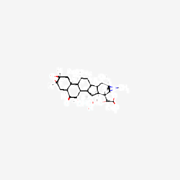 CC(=O)O[C@H]1C2C([C@@H]3[C@@H](O)[C@@H]4[C@H]([C@H](C)[C@H]5N(C)[C@]56OC(=O)[C@@](C)(O)[C@]46C)[C@@]3(C)[C@H]1OC(C)=O)[C@@H](O)C(=O)[C@H]1C[C@@H]3O[C@@H]3C[C@]21C